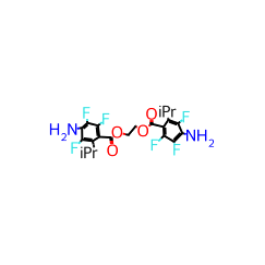 CC(C)c1c(F)c(N)c(F)c(F)c1C(=O)OCCOC(=O)c1c(F)c(F)c(N)c(F)c1C(C)C